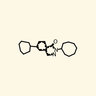 O=c1c2ccc(C3CCCCCC3)cc2cnn1C1CCCCCCC1